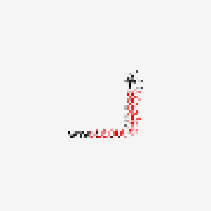 [In+3].[In+3].[O-2].[O-2].[O-2].[O-2].[O-2].[O-2].[O-2].[O-2].[O-2].[O-2].[O-2].[O-2].[O-2].[W+6].[W+6].[Zr+4].[Zr+4]